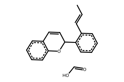 CC=Cc1ccccc1C1C=Cc2ccccc2O1.O=CO